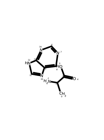 CC(N)C(=O)O.c1ncc2nc[nH]c2n1